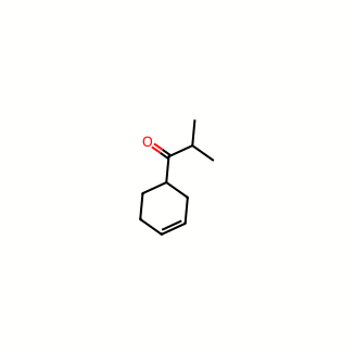 CC(C)C(=O)C1CC=CCC1